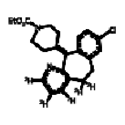 [2H]c1nc2c(c([2H])c1[2H])C([2H])([2H])Cc1cc(Cl)ccc1C2=C1CCN(C(=O)OCC)CC1